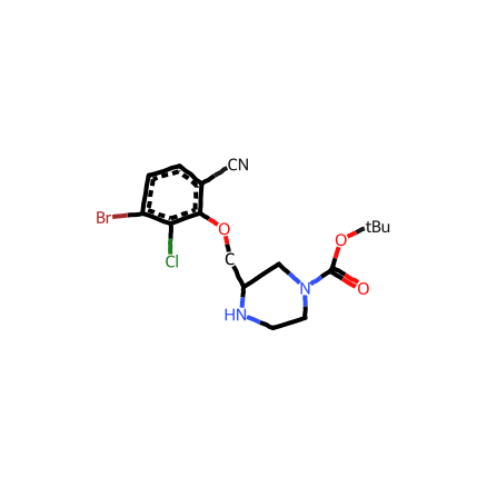 CC(C)(C)OC(=O)N1CCNC(COc2c(C#N)ccc(Br)c2Cl)C1